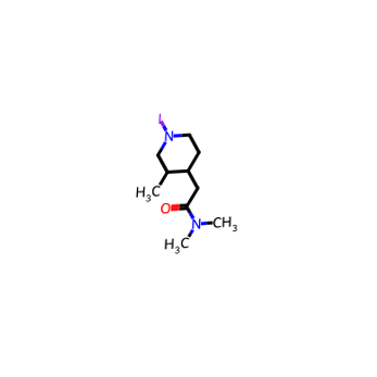 CC1CN(I)CCC1CC(=O)N(C)C